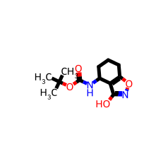 CC(C)(C)OC(=O)NC1CCCc2onc(O)c21